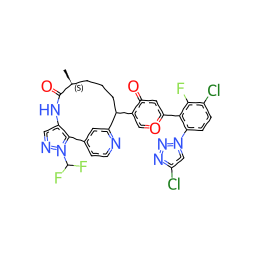 C[C@H]1CCCC(c2coc(-c3c(-n4cc(Cl)nn4)ccc(Cl)c3F)cc2=O)c2cc(ccn2)-c2c(cnn2C(F)F)NC1=O